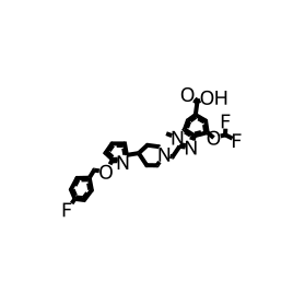 Cn1c(CN2CCC(c3cccc(OCc4ccc(F)cc4)n3)CC2)nc2c(OC(F)F)cc(C(=O)O)cc21